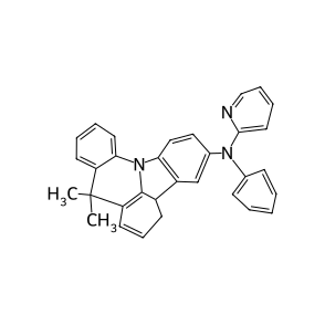 CC1(C)C2=C3C(CC=C2)c2cc(N(c4ccccc4)c4ccccn4)ccc2N3c2ccccc21